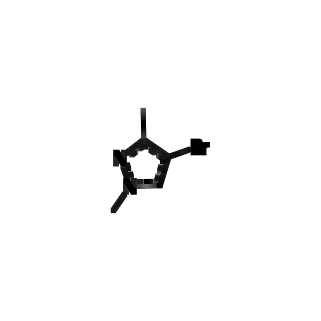 Cc1nn(C)cc1Br